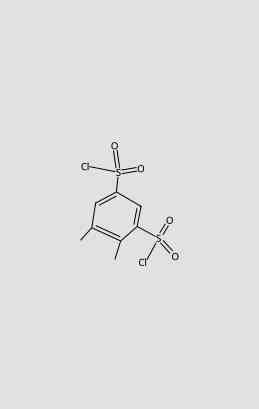 Cc1cc(S(=O)(=O)Cl)cc(S(=O)(=O)Cl)c1C